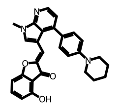 Cn1cc(C=C2Oc3cccc(O)c3C2=O)c2c(-c3ccc(N4CCCCC4)cc3)ccnc21